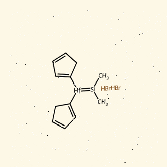 Br.Br.C[Si](C)=[Hf]([C]1=CC=CC1)[C]1=CC=CC1